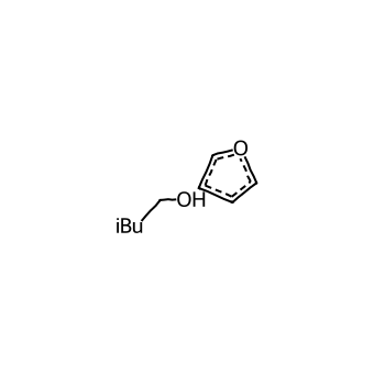 CCC(C)CO.c1ccoc1